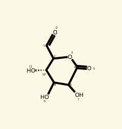 O=CC1OC(=O)C(O)C(O)[C@@H]1O